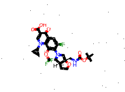 CC(C)(C)OC(=O)NC[C@]12CN(c3c(F)cc4c(=O)c(C(=O)O)cn(C5CC5)c4c3OC(F)F)C[C@@H]1CCO2